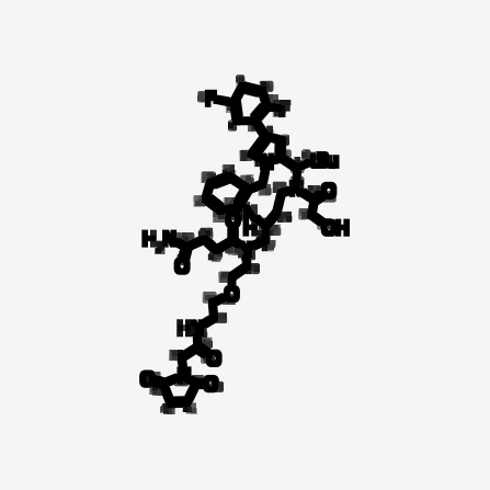 CC(C)(C)[C@H](c1cc(-c2cc(F)ccc2F)cn1Cc1ccccc1)N(CC[C@H](N)CN(CCOCCNC(=O)CN1C(=O)C=CC1=O)C(=O)CCC(N)=O)C(=O)CO